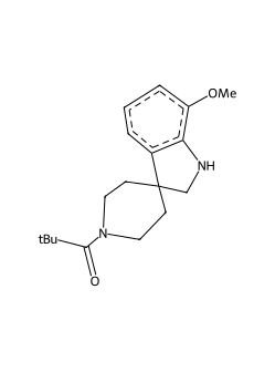 COc1cccc2c1NCC21CCN(C(=O)C(C)(C)C)CC1